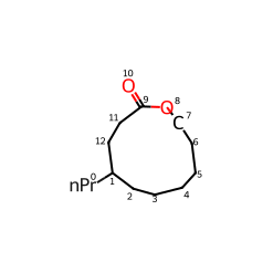 CCCC1CCCCCCOC(=O)CC1